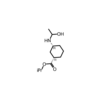 CC(O)N[C@@H]1CCC[C@H](C(=O)OC(C)C)C1